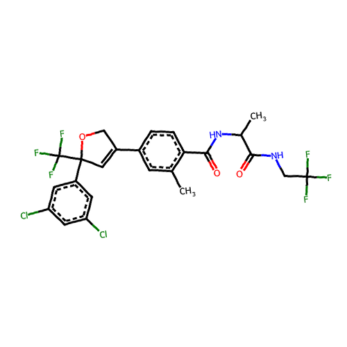 Cc1cc(C2=CC(c3cc(Cl)cc(Cl)c3)(C(F)(F)F)OC2)ccc1C(=O)NC(C)C(=O)NCC(F)(F)F